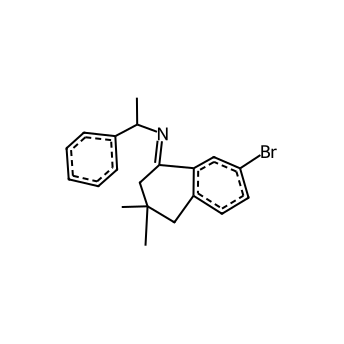 CC(N=C1CC(C)(C)Cc2ccc(Br)cc21)c1ccccc1